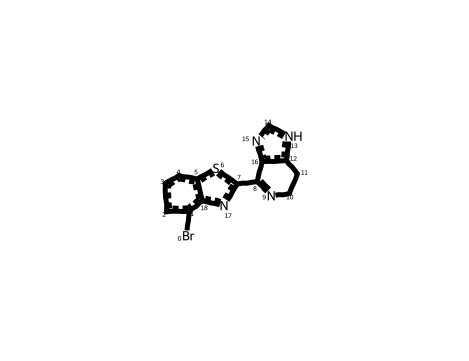 Brc1cccc2sc(C3=NCCc4[nH]cnc43)nc12